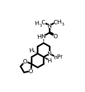 CCCN1C[C@@H](NC(=O)N(C)C)C[C@@H]2CC3(CC[C@H]21)OCCO3